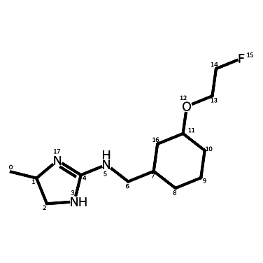 CC1CNC(NCC2CCCC(OCCF)C2)=N1